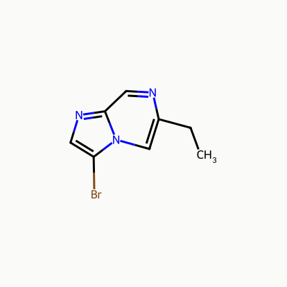 CCc1cn2c(Br)cnc2cn1